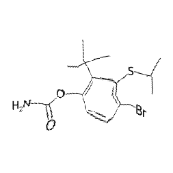 CC(C)Sc1c(Br)ccc(OC(N)=O)c1C(C)(C)C